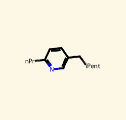 CCCc1ccc(CC(C)CCC)cn1